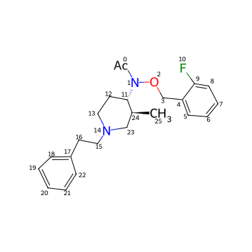 CC(=O)N(OCc1ccccc1F)[C@H]1CCN(CCc2ccccc2)C[C@@H]1C